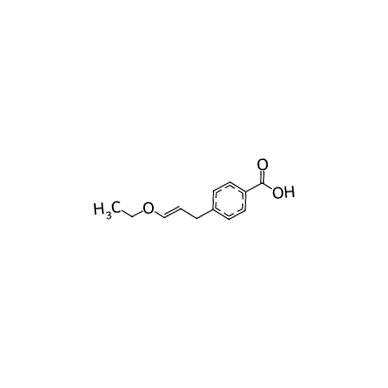 CCOC=CCc1ccc(C(=O)O)cc1